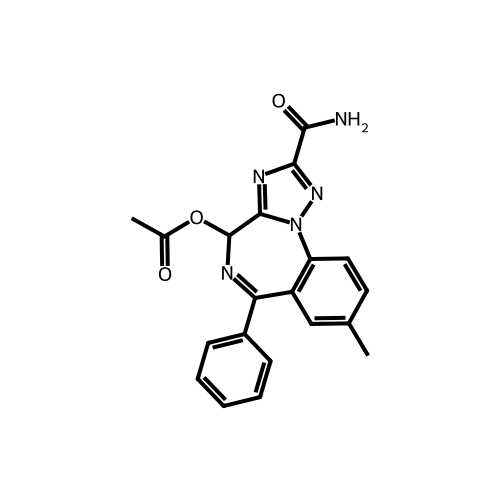 CC(=O)OC1N=C(c2ccccc2)c2cc(C)ccc2-n2nc(C(N)=O)nc21